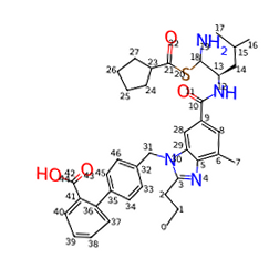 CCCc1nc2c(C)cc(C(=O)N[C@H](CC(C)C)C(N)SC(=O)C3CCCC3)cc2n1Cc1ccc(-c2ccccc2C(=O)O)cc1